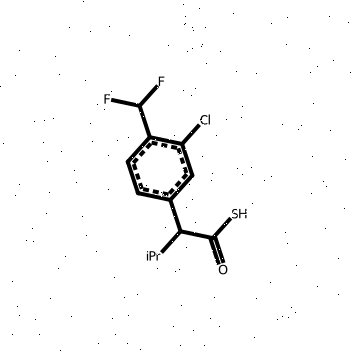 CC(C)C(C(=O)S)c1ccc(C(F)F)c(Cl)c1